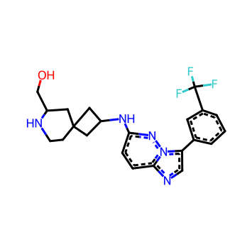 OCC1CC2(CCN1)CC(Nc1ccc3ncc(-c4cccc(C(F)(F)F)c4)n3n1)C2